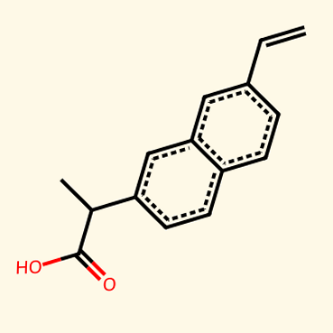 C=Cc1ccc2ccc(C(C)C(=O)O)cc2c1